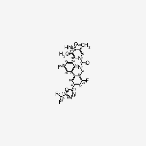 CC1=CN(C(=O)N(Cc2ccc(-c3nnc(C(F)F)o3)cc2F)c2ccc(F)cc2)C=C(C)S1(=N)=O